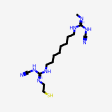 C/N=C(/NC#N)NCCCCCCCCN/C(=N\CCS)NC#N